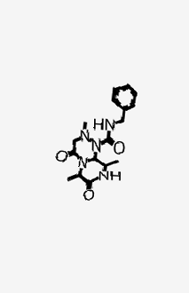 CC1NC(=O)C(C)N2C(=O)CN(C)N(C(=O)NCc3ccccc3)C12